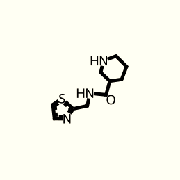 O=C(NCc1nccs1)C1CCCNC1